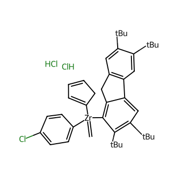 Cl.Cl.[CH2]=[Zr]([C]1=CC=CC1)([c]1ccc(Cl)cc1)[c]1c2c(cc(C(C)(C)C)c1C(C)(C)C)-c1cc(C(C)(C)C)c(C(C)(C)C)cc1C2